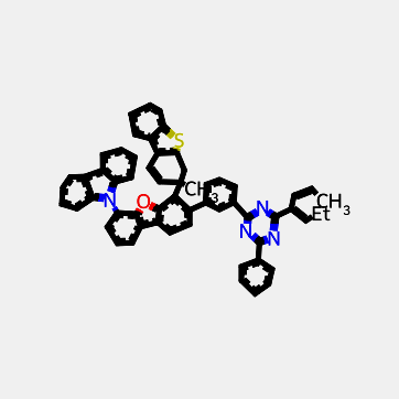 C/C=C\C(=C/CC)c1nc(-c2ccccc2)nc(-c2cccc(-c3ccc4c(oc5c(-n6c7ccccc7c7ccccc76)cccc54)c3C3(C)C=Cc4c(sc5ccccc45)C3)c2)n1